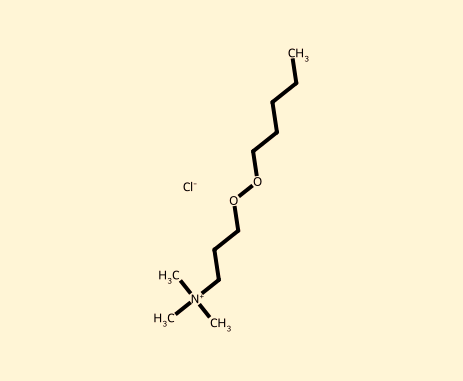 CCCCCOOCCC[N+](C)(C)C.[Cl-]